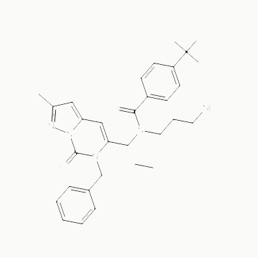 CC[C@H](c1cc2cc(C)nn2c(=O)n1Cc1ccccc1)N(CCCN)C(=O)c1ccc(C(F)(F)F)cc1